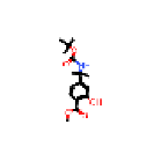 COC(=O)c1ccc(C(C)(C)NC(=O)OC(C)(C)C)cc1O